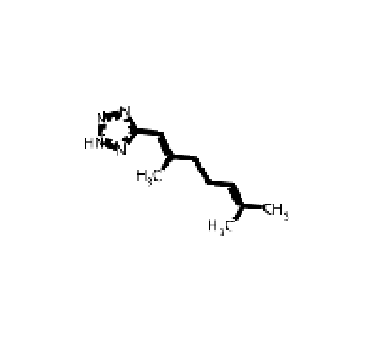 CC(C)=CCC/C(C)=C/c1nn[nH]n1